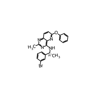 Cc1nc(N[C@H](C)c2cccc(Br)c2)c2nc(Oc3ccccc3)ccc2n1